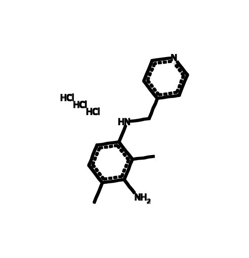 Cc1ccc(NCc2ccncc2)c(C)c1N.Cl.Cl.Cl